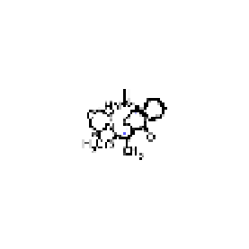 C/C1=C(/OCc2ccccc2)C(=O)/C=C\NNC2COC[C@H](C)N2C1=O